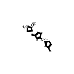 C1C[SiH2]C1.CC1=CC[C]([Zr+2][C]2=CC(C)=CC2)=C1.[Cl-].[Cl-]